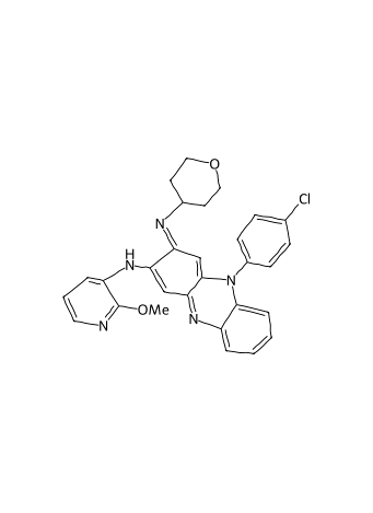 COc1ncccc1Nc1cc2nc3ccccc3n(-c3ccc(Cl)cc3)c-2c/c1=N\C1CCOCC1